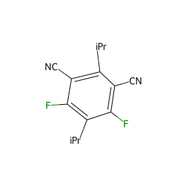 CC(C)c1c(F)c(C#N)c(C(C)C)c(C#N)c1F